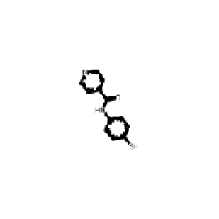 O=C(Nc1ccc(S)cc1)c1ccncc1